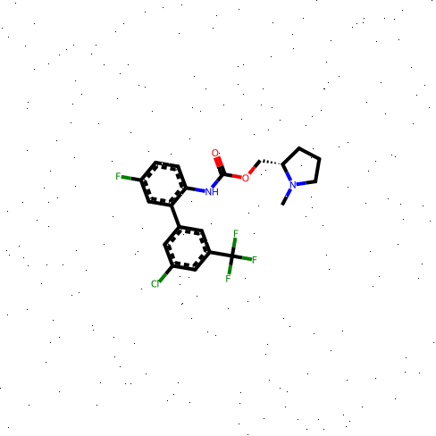 CN1CCC[C@H]1COC(=O)Nc1ccc(F)cc1-c1cc(Cl)cc(C(F)(F)F)c1